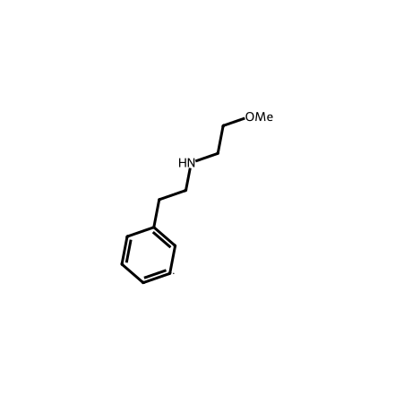 COCCNCCc1c[c]ccc1